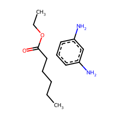 CCCCCC(=O)OCC.Nc1cccc(N)c1